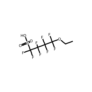 CCOC(F)(F)C(F)(F)C(F)(F)C(F)(F)S(=O)(=O)O